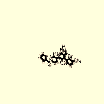 N#CC1=C(C2CCN(C(=O)c3ccccc3)CC2)Nc2n[nH]cc2C1c1cccc(C#N)c1Br